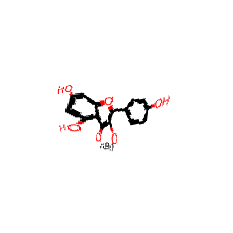 CCCCOc1c(-c2ccc(O)cc2)oc2cc(O)cc(O)c2c1=O